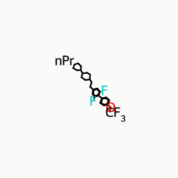 CCCC1CCC(C2CCC(CCc3cc(F)c(-c4ccc(OC(F)(F)F)cc4)c(F)c3)CC2)CC1